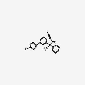 CC#CC(=O)C(N)(c1ccccc1)c1cccc(-c2ccc(F)cc2)c1